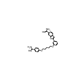 N=C(N)c1ccc(OCCCCCOc2cccc(-c3cc4ccc(C(=N)N)cc4o3)c2)cc1